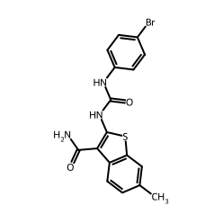 Cc1ccc2c(C(N)=O)c(NC(=O)Nc3ccc(Br)cc3)sc2c1